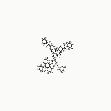 CC(C)(C1=CC(c2cc3c4c(c2)Sc2cc(C(C)(C)c5ccccc5)ccc2B4c2ccc(C(C)(C)c4ccccc4)cc2S3)=CC(c2c3ccccc3c(-c3ccccc3)c3ccccc23)C1)c1ccccc1